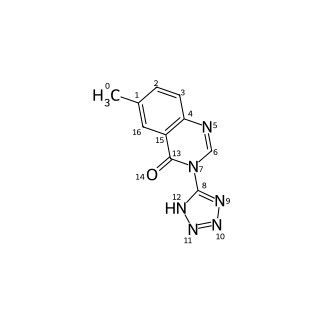 Cc1ccc2ncn(-c3nnn[nH]3)c(=O)c2c1